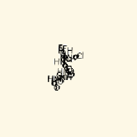 COC(=O)[C@H](CCNC(=O)C(=O)Nc1cccc(OC)c1)NC(=O)c1ccc(Nc2nc(NC3(c4ccc(Cl)cc4)CC3)nc(OCC(F)(F)F)n2)cc1